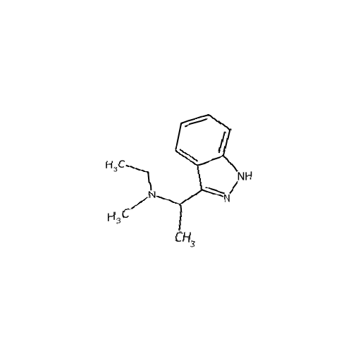 CCN(C)C(C)c1n[nH]c2ccccc12